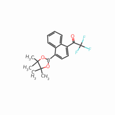 CC1(C)OB(c2ccc(C(=O)C(F)(F)F)c3ccccc23)OC1(C)C